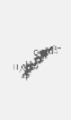 Cc1cc(NC(=O)N2CC=C(c3ncc(C[C@@H](O)CO)cc3Cl)CC2)ccc1OC(F)(F)F